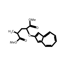 COC(=O)C(C)CC(Oc1cc2cccccc-2c1)C(=O)OC